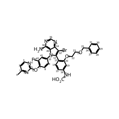 Cc1ccnc(Oc2ccc(-n3c(-c4ccc(NC(=O)O)cc4OCCOCc4ccccc4)c(Br)c4ncnc(N)c43)cc2F)n1